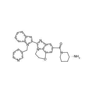 N[C@@H]1CCCN(C(=O)c2cc3c4c(c2)nc(-c2cc5ccccc5n2Cc2cccnc2)n4CCO3)C1